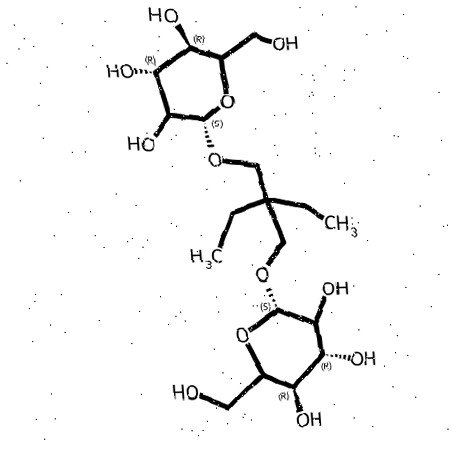 CCC(CC)(CO[C@H]1OC(CO)[C@H](O)[C@@H](O)C1O)CO[C@H]1OC(CO)[C@H](O)[C@@H](O)C1O